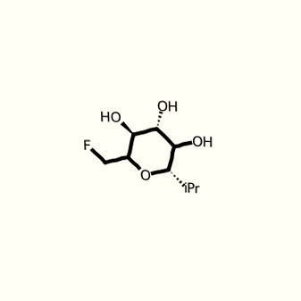 CC(C)[C@@H]1OC(CF)[C@@H](O)[C@H](O)C1O